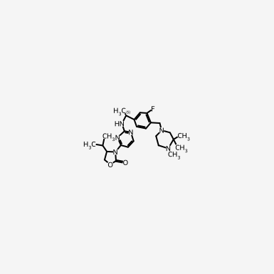 CC(C)C1COC(=O)N1c1ccnc(N[C@@H](C)c2ccc(CN3CCN(C)C(C)(C)C3)c(F)c2)n1